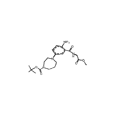 COC(=O)CNC(=O)c1cc(N2CCCN(C(=O)OC(C)(C)C)CC2)ccc1N